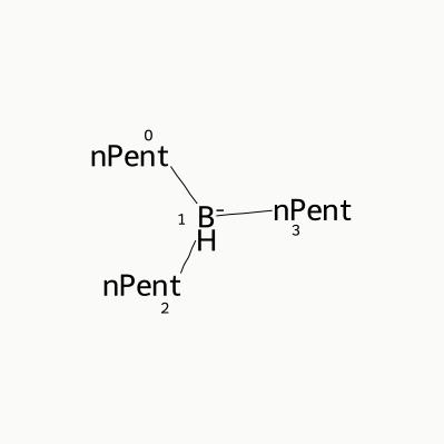 CCCCC[BH-](CCCCC)CCCCC